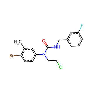 Cc1cc(N(CCCl)C(=O)NCc2cccc(F)c2)ccc1Br